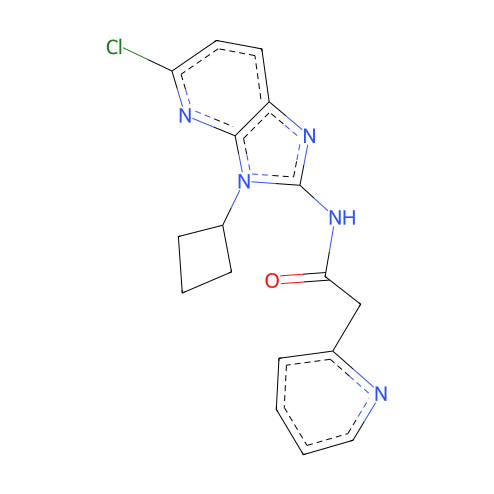 O=C(Cc1ccccn1)Nc1nc2ccc(Cl)nc2n1C1CCC1